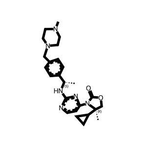 C[C@H](Nc1nccc(N2C(=O)OC[C@@]2(C)C2CC2)n1)c1ccc(CN2CCN(C)CC2)cc1